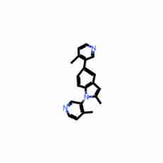 Cc1ccncc1-c1ccc2c(c1)cc(C)n2-c1cnccc1C